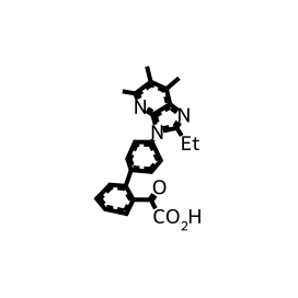 CCc1nc2c(C)c(C)c(C)nc2n1-c1ccc(-c2ccccc2C(=O)C(=O)O)cc1